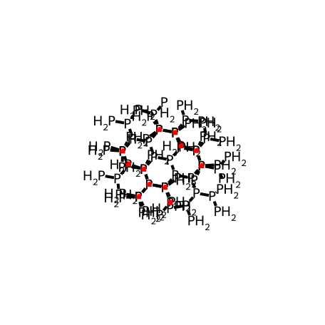 PP(P)P(P(P)P)P(P(P)P)P(P(P(P(P)P)P(P)P)P(P(P)P)P(P)P)P(P(P(P(P)P)P(P)P)P(P(P)P)P(P)P)P(P(P(P(P)P)P(P)P)P(P(P)P)P(P)P)P(P(P(P)P)P(P)P)P(P(P)P)P(P)P